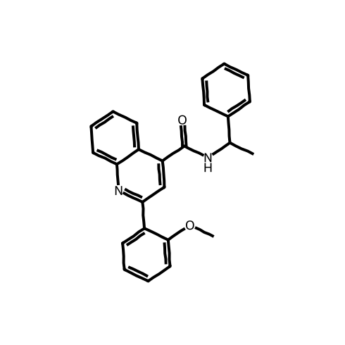 COc1ccccc1-c1cc(C(=O)NC(C)c2ccccc2)c2ccccc2n1